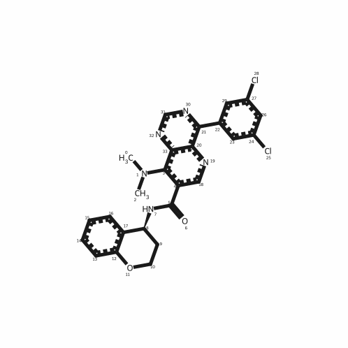 CN(C)c1c(C(=O)N[C@H]2CCOc3ccccc32)cnc2c(-c3cc(Cl)cc(Cl)c3)ncnc12